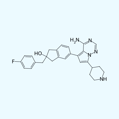 Nc1ncnn2c(C3CCNCC3)cc(-c3ccc4c(c3)CC(O)(Cc3ccc(F)cc3)C4)c12